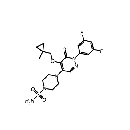 CC1(COc2c(N3CCN(S(N)(=O)=O)CC3)cnn(-c3cc(F)cc(F)c3)c2=O)CC1